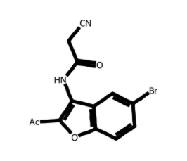 CC(=O)c1oc2ccc(Br)cc2c1NC(=O)CC#N